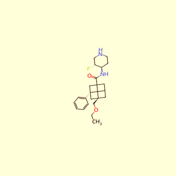 CCOC[C@@]12CC3CC4(C(=O)N[C@@H]5CCNC[C@H]5F)C[C@](c5ccccc5)(C1)C342